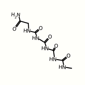 CNC(=O)NC(=O)NC(=O)NC(=O)NCC(N)=O